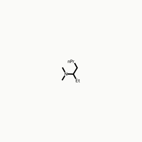 CCCCC(CC)N(C)C